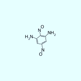 Nc1cc(N=O)cc(N)c1N=O